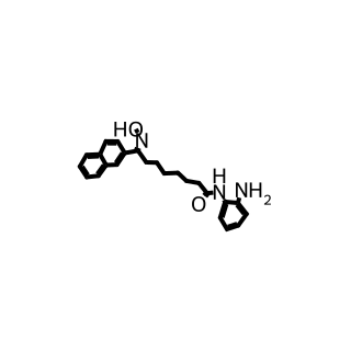 Nc1ccccc1NC(=O)CCCCCC/C(=N/O)c1ccc2ccccc2c1